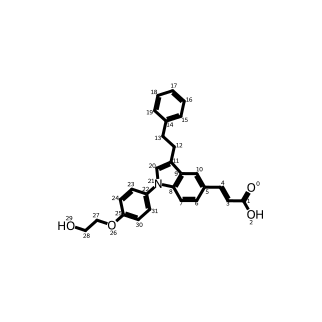 O=C(O)C=Cc1ccc2c(c1)c(CCc1ccccc1)cn2-c1ccc(OCCO)cc1